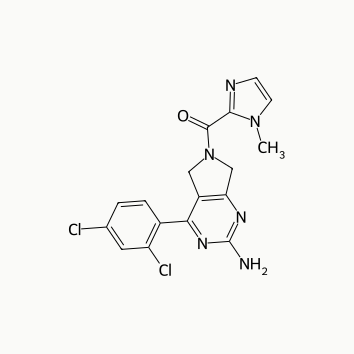 Cn1ccnc1C(=O)N1Cc2nc(N)nc(-c3ccc(Cl)cc3Cl)c2C1